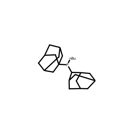 CCCCP(C1C2CC3CC(C2)CC1C3)C12CC3CC(CC(C3)C1)C2